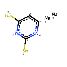 Sc1ccnc(S)n1.[Na].[Na]